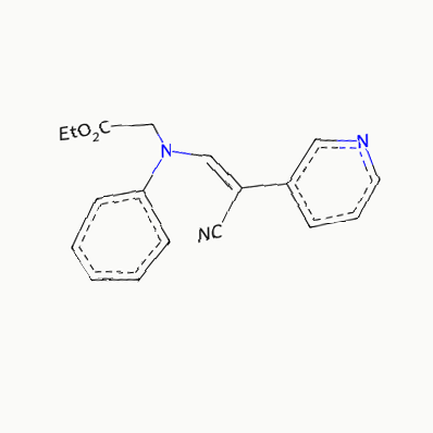 CCOC(=O)CN(/C=C(\C#N)c1cccnc1)c1ccccc1